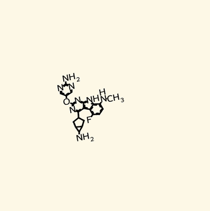 CNc1ccc(F)c2c1[nH]c1nc(Oc3cnc(N)nc3)nc(C3CC4C(N)C4C3)c12